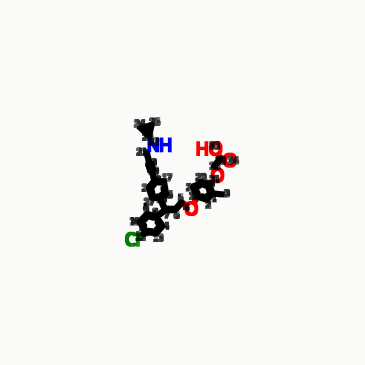 Cc1cc(OC/C=C(/c2ccc(Cl)cc2)c2ccc(C#CCNC3CC3)cc2)ccc1OCC(=O)O